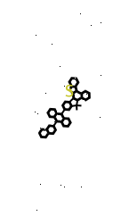 CC1(C)c2cc(-c3c4ccccc4c(-c4ccc5ccccc5c4)c4ccccc34)ccc2-c2c1c1ccccc1c1c2sc2ccccc21